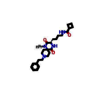 CCCN1C(=O)[C@H](CCCCNC(=O)C2CCC2)NC(=O)C12CCN(CCc1ccccc1)CC2